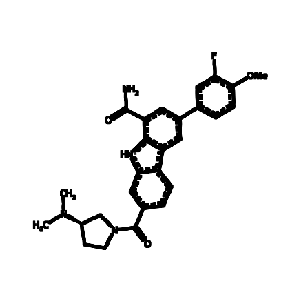 COc1ccc(-c2cc(C(N)=O)c3[nH]c4cc(C(=O)N5CC[C@@H](N(C)C)C5)ccc4c3c2)cc1F